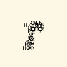 CC1(C)CNC(c2ccccc2C(F)(F)F)c2cc(COc3cc4c(cn3)[C@H]3[C@@H](C4)[C@@H]3C(=O)O)c(F)cc21